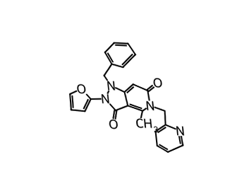 Cc1c2c(=O)n(-c3ccco3)n(Cc3ccccc3)c2cc(=O)n1Cc1ccccn1